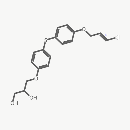 OCC(O)COc1ccc(Sc2ccc(OC/C=C/Cl)cc2)cc1